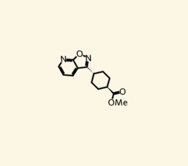 COC(=O)[C@H]1CC[C@H](c2noc3ncccc32)CC1